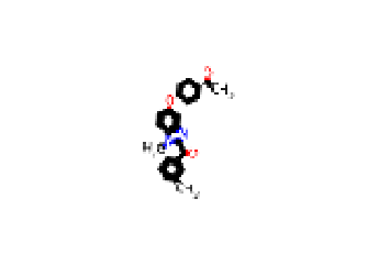 Cc1cccc(C(=O)c2nc3cc(O[C@H]4CC[C@@H](C(C)=O)CC4)ccc3n2C)c1